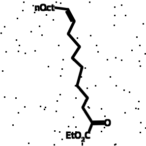 CCCCCCCC/C=C\CCCCCCCC(=O)C(=O)OCC